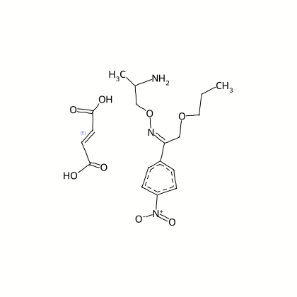 CCCOCC(=NOCC(C)N)c1ccc([N+](=O)[O-])cc1.O=C(O)/C=C/C(=O)O